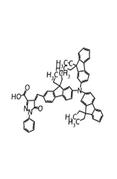 CCC1(CC)c2ccccc2-c2ccc(N(c3ccc4c(c3)C(CC)(CC)c3ccccc3-4)c3ccc4c(c3)C(CC)(CC)c3cc(/C=C5\C(=O)N(c6ccccc6)N=C5C(=O)O)ccc3-4)cc21